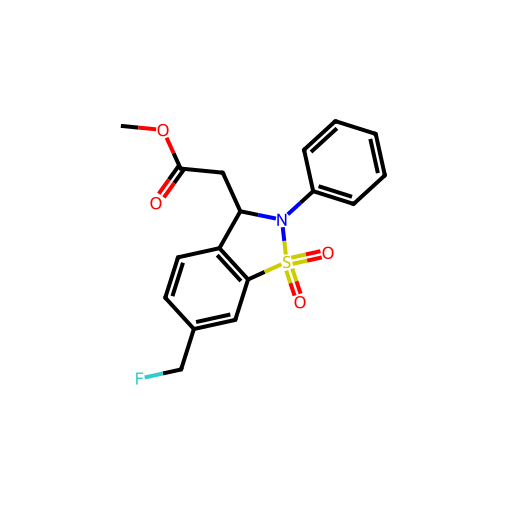 COC(=O)CC1c2ccc(CF)cc2S(=O)(=O)N1c1ccccc1